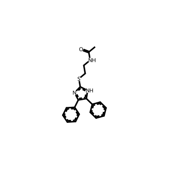 CC(=O)NCCSc1nc(-c2ccccc2)c(-c2ccccc2)[nH]1